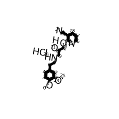 COc1ccc(CCNCC(O)COc2ncccc2C#N)cc1OC.Cl